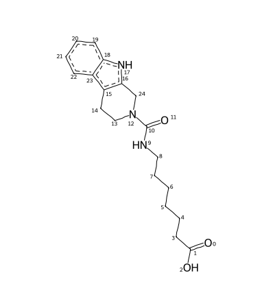 O=C(O)CCCCCCNC(=O)N1CCc2c([nH]c3ccccc23)C1